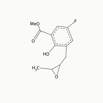 COC(=O)c1cc(F)cc(CC2OC2C)c1O